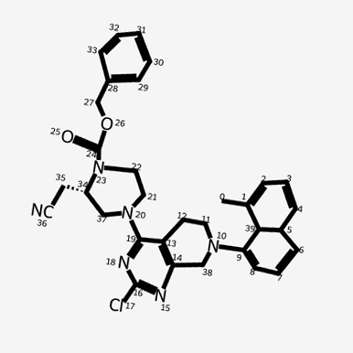 CC1=CC=CC2C=CC=C(N3CCc4c(nc(Cl)nc4N4CCN(C(=O)OCc5ccccc5)[C@@H](CC#N)C4)C3)C12